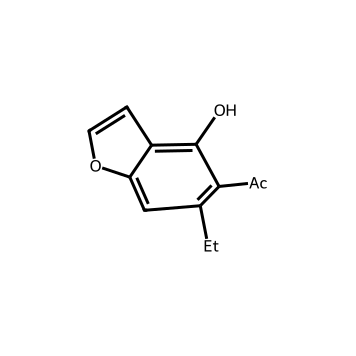 CCc1cc2occc2c(O)c1C(C)=O